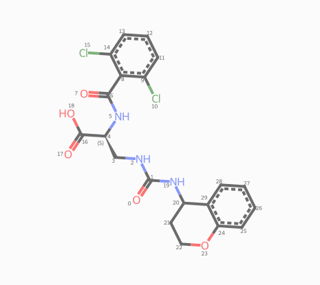 O=C(NC[C@H](NC(=O)c1c(Cl)cccc1Cl)C(=O)O)NC1CCOc2ccccc21